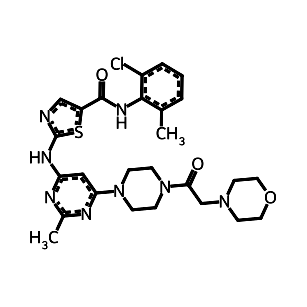 Cc1nc(Nc2ncc(C(=O)Nc3c(C)cccc3Cl)s2)cc(N2CCN(C(=O)CN3CCOCC3)CC2)n1